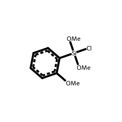 COc1ccccc1[Si](Cl)(OC)OC